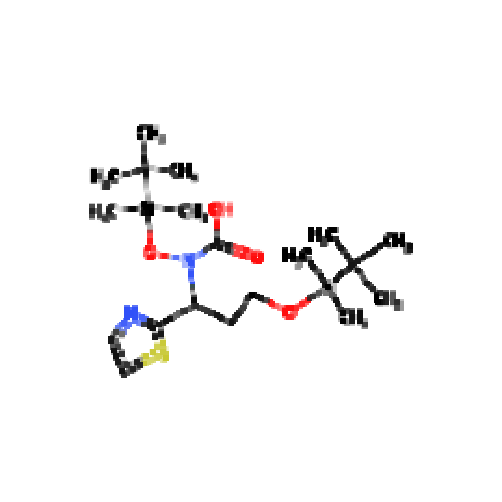 CC(C)(C)[Si](C)(C)OCCC(c1nccs1)N(O[Si](C)(C)C(C)(C)C)C(=O)O